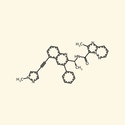 Cc1nc2cccnn2c1C(=O)N[C@@H](C)c1nc2cccc(C#Cc3cnn(C)c3)c2cc1-c1ccccc1